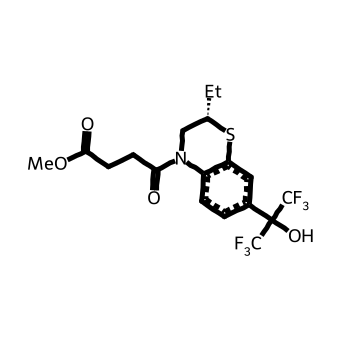 CC[C@H]1CN(C(=O)CCC(=O)OC)c2ccc(C(O)(C(F)(F)F)C(F)(F)F)cc2S1